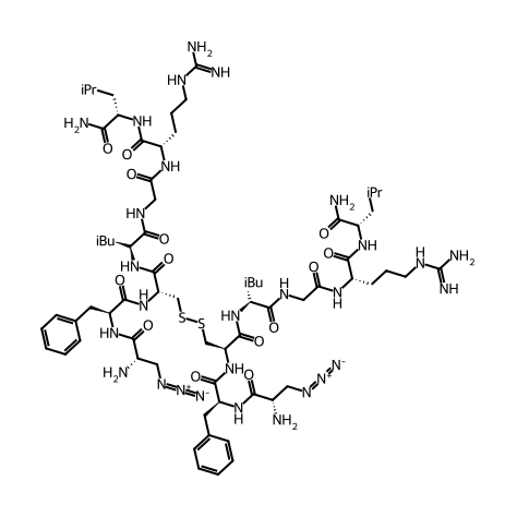 CC[C@H](C)[C@H](NC(=O)[C@H](CSSC[C@H](NC(=O)[C@H](Cc1ccccc1)NC(=O)[C@@H](N)CN=[N+]=[N-])C(=O)N[C@H](C(=O)NCC(=O)N[C@@H](CCCNC(=N)N)C(=O)N[C@@H](CC(C)C)C(N)=O)[C@@H](C)CC)NC(=O)[C@H](Cc1ccccc1)NC(=O)[C@@H](N)CN=[N+]=[N-])C(=O)NCC(=O)N[C@@H](CCCNC(=N)N)C(=O)N[C@@H](CC(C)C)C(N)=O